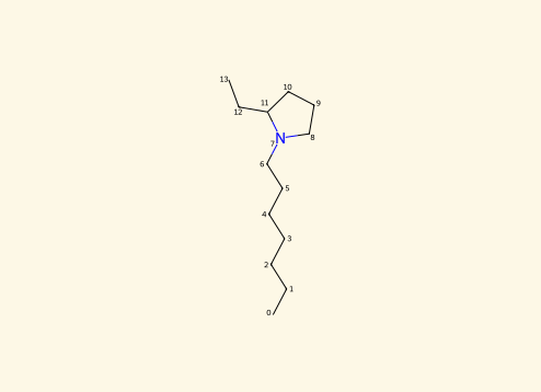 CCCCCCCN1CCCC1CC